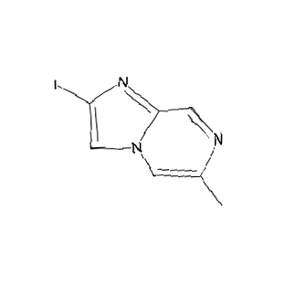 Cc1cn2cc(I)nc2cn1